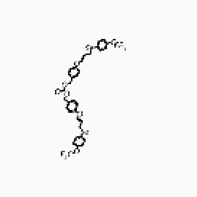 O=C(OCc1ccc(OC=CC[Se]c2ccc(OC(F)(F)F)cc2)cc1)OCc1ccc(OC=CC[Se]c2ccc(OC(F)(F)F)cc2)cc1